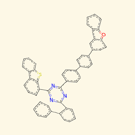 c1ccc(-c2ccccc2-c2nc(-c3ccc(-c4ccc(-c5ccc6oc7ccccc7c6c5)cc4)cc3)nc(-c3cccc4c3sc3ccccc34)n2)cc1